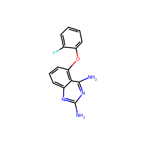 Nc1nc(N)c2c(Oc3ccccc3F)cccc2n1